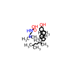 CC(C)CCCC(C)[C@H]1CC[C@H]2[C@@H]3CC=C4C[C@@H](O)CC[C@]4(C)[C@H]3CC[C@]12C.CN(C)CCNC(=O)O